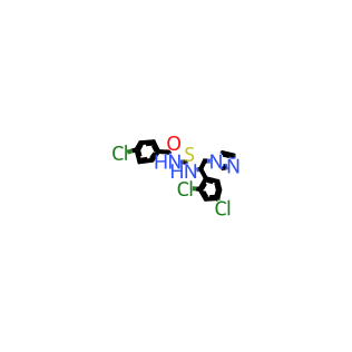 O=C(NC(=S)NC(Cn1ccnc1)c1ccc(Cl)cc1Cl)c1ccc(Cl)cc1